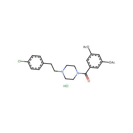 CC(=O)Oc1cc(OC(C)=O)cc(C(=O)N2CCN(CCc3ccc(Cl)cc3)CC2)c1.Cl